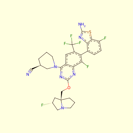 N#C[C@H]1CCCN(c2nc(OC[C@@]34CCCN3C[C@H](F)C4)nc3c(F)c(-c4ccc(F)c5sc(N)nc45)c(C(F)(F)F)cc23)C1